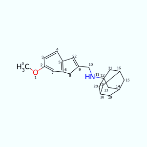 COc1ccc2c(c1)CC(CNC13CC4CC(CC(C4)C1)C3)=C2